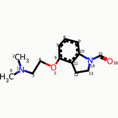 CN(C)CCOc1cccc2c1CCN2C=O